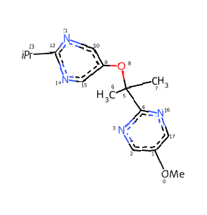 COc1cnc(C(C)(C)Oc2cnc(C(C)C)nc2)nc1